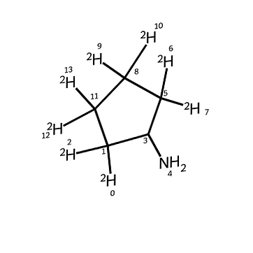 [2H]C1([2H])C(N)C([2H])([2H])C([2H])([2H])C1([2H])[2H]